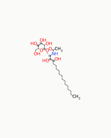 CCCCCCCCCCCCCC[C@@H](O)[C@@H](O)[C@H](CO[C@H]1OC(CO)[C@H](O)[C@H](O)C1O)NC(C)=O